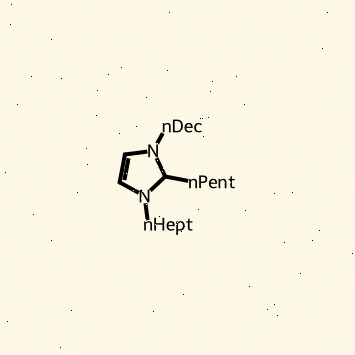 CCCCCCCCCCN1C=CN(CCCCCCC)C1CCCCC